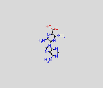 Nc1nc(-n2cnc3c(N)ncnc32)c(N)nc1C(=O)O